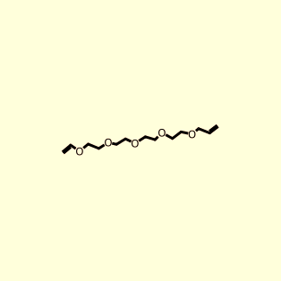 C=CCOCCOCCOCCOCCOC=C